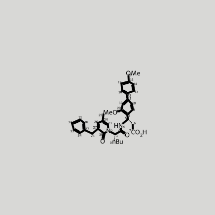 CCCC[C@@H](C(=O)N[C@@H](CC(=O)O)c1ccc(-c2ccc(OC)cc2)cc1OC)n1cc(C)cc(Cc2ccccc2)c1=O